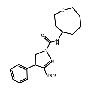 CCCCCC1=NN(C(=O)NC2CCCCCCC2)CC1c1ccccc1